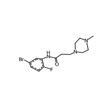 CN1CCN(CCC(=O)Nc2cc(Br)ccc2F)CC1